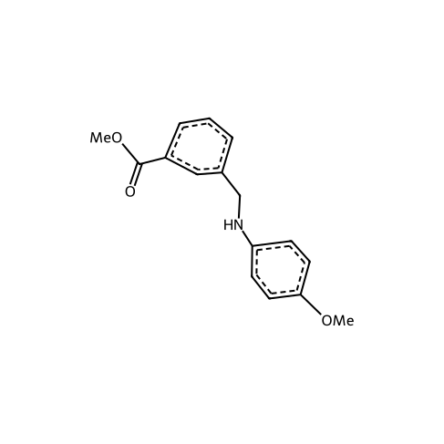 COC(=O)c1cccc(CNc2ccc(OC)cc2)c1